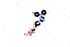 CS(=O)(=O)NC(=O)COCC1(F)CCN(c2cncc(N(c3ccccc3)c3ccc(F)cc3)n2)CC1